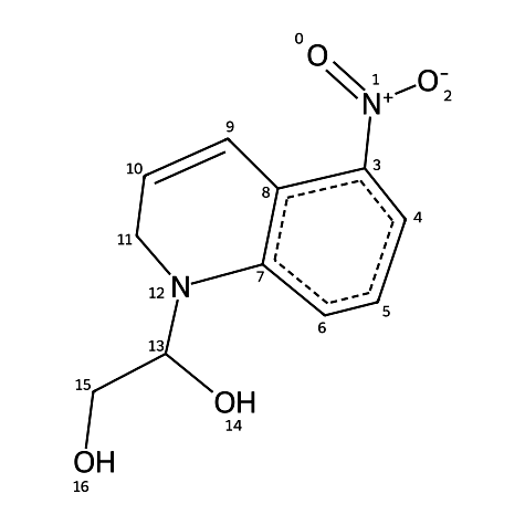 O=[N+]([O-])c1cccc2c1C=CCN2C(O)CO